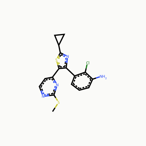 CSc1nccc(-c2sc(C3CC3)nc2-c2cccc(N)c2Cl)n1